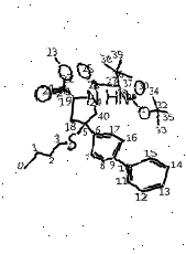 CCCCS[C@@]1(c2ccc(-c3ccccc3)cc2)C[C@@H](C(=O)OC)N(C(=O)[C@@H](NC(=O)OC(C)(C)C)C(C)(C)C)C1